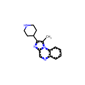 Cc1c(C2CCNCC2)nc2cnc3ccccc3n12